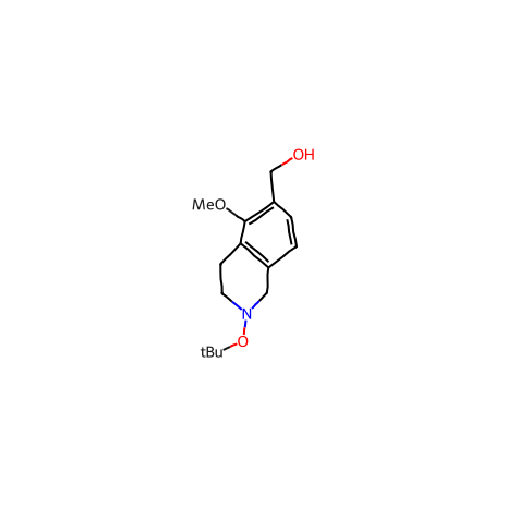 COc1c(CO)ccc2c1CCN(OC(C)(C)C)C2